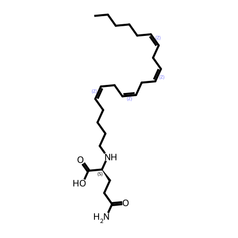 CCCCC/C=C\C/C=C\C/C=C\C/C=C\CCCCN[C@@H](CCC(N)=O)C(=O)O